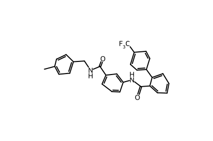 Cc1ccc(CNC(=O)c2cccc(NC(=O)c3ccccc3-c3ccc(C(F)(F)F)cc3)c2)cc1